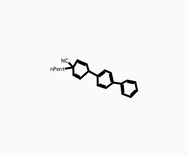 CCCCCC1(C#N)C=CC(c2ccc(-c3ccccc3)cc2)C=C1